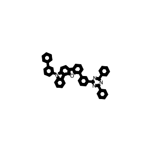 c1ccc(-c2cccc(-n3c4ccccc4c4c5oc6c(-c7cccc(-c8nc(-c9ccccc9)nc(-c9ccccc9)n8)c7)cccc6c5ccc43)c2)cc1